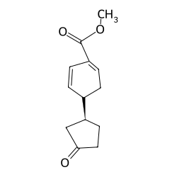 COC(=O)C1=CCC([C@H]2CCC(=O)C2)C=C1